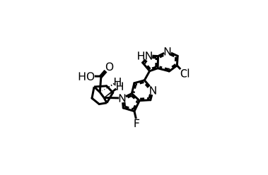 O=C(O)[C@@H]1C2CCC(CC2)[C@H]1n1cc(F)c2cnc(-c3c[nH]c4ncc(Cl)cc34)cc21